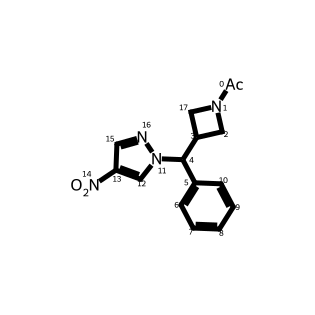 CC(=O)N1CC(C(c2ccccc2)n2cc([N+](=O)[O-])cn2)C1